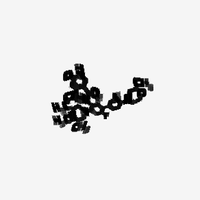 C[C@@H]1CN(c2cc(F)c(-c3ccc(N4CCO[C@@H](C)C4)nc3)c(F)c2NC(=O)c2c[nH]c(=O)cc2C(F)(F)F)C[C@H](C)N1C